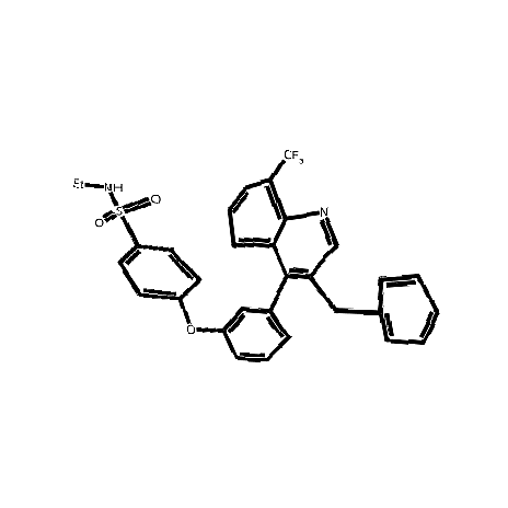 CCNS(=O)(=O)c1ccc(Oc2cccc(-c3c(Cc4ccccc4)cnc4c(C(F)(F)F)cccc34)c2)cc1